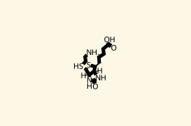 NCCS.O=C(O)CCCC[C@@H]1SC[C@@H]2NC(=O)N[C@@H]21